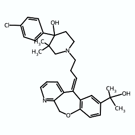 CC(C)(O)c1ccc2c(c1)/C(=C/CCN1CCC(O)(c3ccc(Cl)cc3)C(C)(C)C1)c1cccnc1CO2